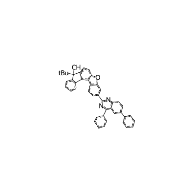 CC(C)(C)C1(C)c2ccccc2-c2c1ccc1oc3cc(-c4nc(-c5ccccc5)c5cc(-c6ccccc6)ccc5n4)ccc3c21